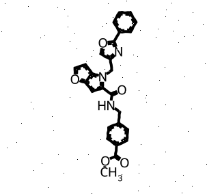 COC(=O)c1ccc(CNC(=O)c2cc3occc3n2Cc2coc(-c3ccccc3)n2)cc1